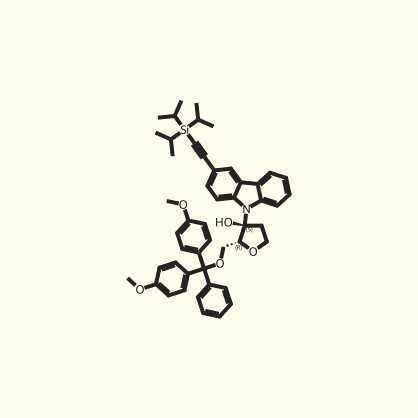 COc1ccc(C(OC[C@H]2OCC[C@@]2(O)n2c3ccccc3c3cc(C#C[Si](C(C)C)(C(C)C)C(C)C)ccc32)(c2ccccc2)c2ccc(OC)cc2)cc1